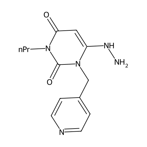 CCCn1c(=O)cc(NN)n(Cc2ccncc2)c1=O